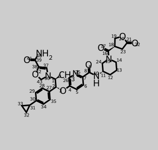 C[C@@H]([C@H](Oc1ccc(C(=O)N[C@H]2CCCN(C(=O)[C@H]3COC(=O)C3)C2)nc1)c1ccc(C2CC2)cc1)N1C=C(C(N)=O)OC1